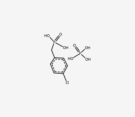 O=P(O)(O)Cc1ccc(Cl)cc1.O=P(O)(O)O